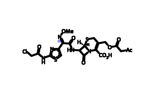 CO/N=C(\C(=O)NC1C(=O)N2C(C(=O)O)=C(COC(=O)CC(C)=O)CS[C@H]12)c1csc(NC(=O)CCl)n1